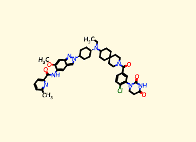 CCN(C1CCC2(CC1)CCN(C(=O)c1ccc(Cl)c(N3CCC(=O)NC3=O)c1)CC2)[C@H]1CC[C@H](n2cc3cc(NC(=O)c4cccc(C)n4)c(OC)cc3n2)CC1